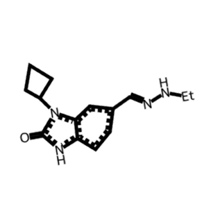 CCN/N=C/c1ccc2[nH]c(=O)n(C3CCC3)c2c1